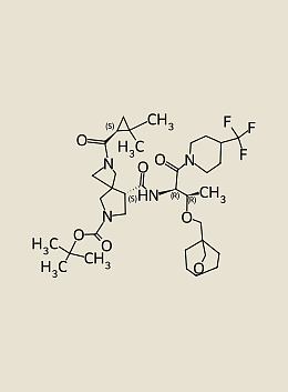 C[C@@H](OCC12CCC(CC1)OC2)[C@@H](NC(=O)[C@@H]1CN(C(=O)OC(C)(C)C)CC12CN(C(=O)[C@H]1CC1(C)C)C2)C(=O)N1CCC(C(F)(F)F)CC1